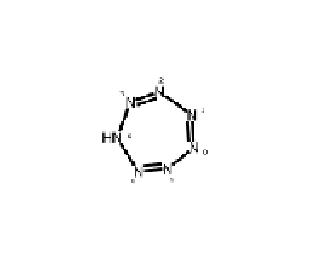 N1=NN=NNN=N1